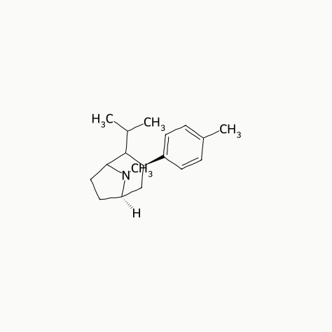 Cc1ccc([C@H]2C[C@H]3CCC(C2C(C)C)N3C)cc1